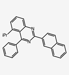 CC(C)c1cccc2nc(-c3ccc4ccccc4c3)nc(-c3ccccc3)c12